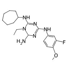 CCN1C(NC2CCCCCC2)=NC(Nc2ccc(OC)c(F)c2)=NC1N